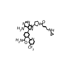 NC(=O)c1ccc(-c2nn(C3CCN(C(=O)C=CCNC4CC4)C3)c3ncnc(N)c23)cc1-c1cc(C(F)(F)F)ccn1